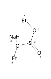 CCO[Si](=O)OCC.[NaH]